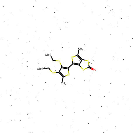 CSCSc1c(C)sc(-c2sc(C)c3sc(=O)sc23)c1SCSC